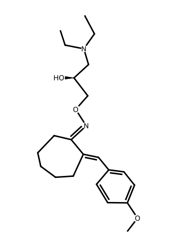 CCN(CC)C[C@H](O)CO/N=C1\CCCCC\C1=C/c1ccc(OC)cc1